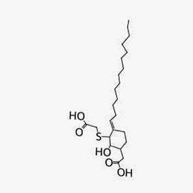 CCCCCCCCCCCCCC=C1CCC(CC(=O)O)C(O)C1SCC(=O)O